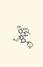 Cc1c([C@@H](C)Nc2nnc(C)c3ncc(N4CC5CCOCC4C5)cc23)cccc1C(F)(F)F